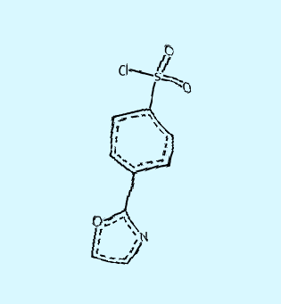 O=S(=O)(Cl)c1ccc(-c2ncco2)cc1